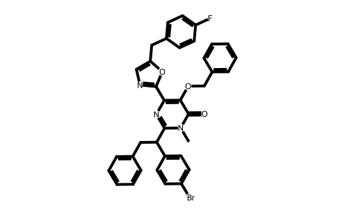 Cn1c(C(Cc2ccccc2)c2ccc(Br)cc2)nc(-c2ncc(Cc3ccc(F)cc3)o2)c(OCc2ccccc2)c1=O